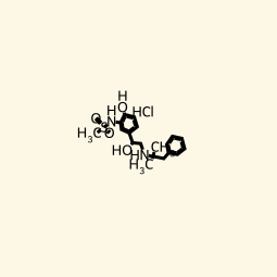 CC(C)(Cc1ccccc1)NCC(O)c1ccc(O)c(NS(C)(=O)=O)c1.Cl